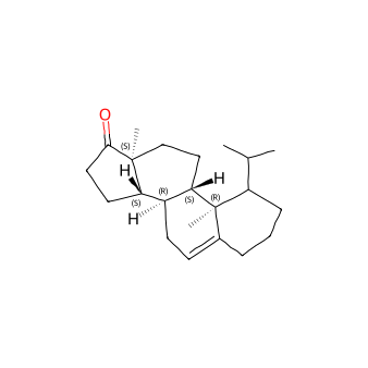 CC(C)C1CCCC2=CC[C@H]3[C@@H]4CCC(=O)[C@@]4(C)CC[C@@H]3[C@]21C